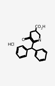 Cl.O=C(O)C1CN2CCC1C(=O)C2C(c1ccccc1)c1ccccc1